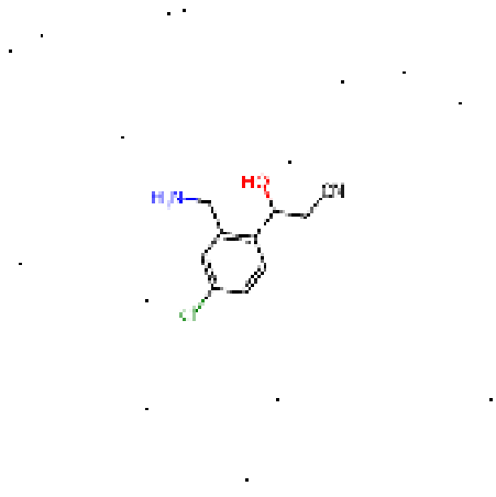 N#CCC(O)c1ccc(Cl)cc1CN